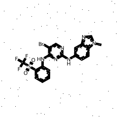 Cn1cnc2cc(Nc3ncc(Br)c(Nc4ccccc4S(=O)(=O)C(F)(F)F)n3)ccc21